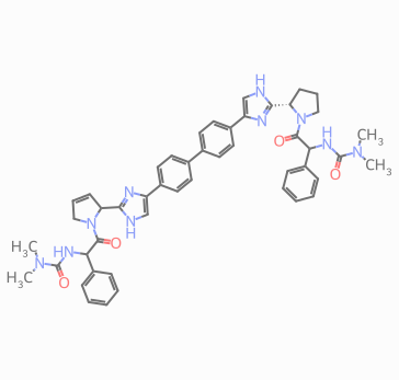 CN(C)C(=O)NC(C(=O)N1CC=CC1c1nc(-c2ccc(-c3ccc(-c4c[nH]c([C@@H]5CCCN5C(=O)C(NC(=O)N(C)C)c5ccccc5)n4)cc3)cc2)c[nH]1)c1ccccc1